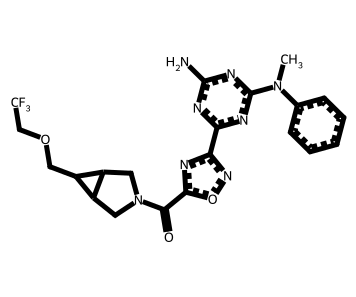 CN(c1ccccc1)c1nc(N)nc(-c2noc(C(=O)N3CC4C(COCC(F)(F)F)C4C3)n2)n1